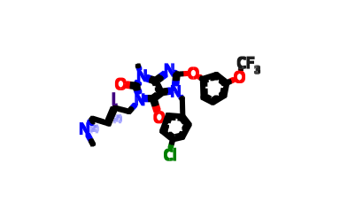 C/N=C\C=C(/I)Cn1c(=O)c2c(nc(Oc3cccc(OC(F)(F)F)c3)n2Cc2ccc(Cl)cc2)n(C)c1=O